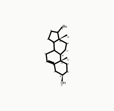 CCC(C)C1CCC2C3CC=C4C[C@H](O)CC[C@@]4(C)C3CC[C@@]12C